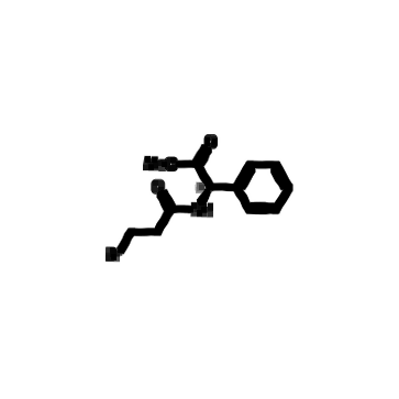 COC(=O)[C@H](NC(=O)CCBr)c1ccccc1